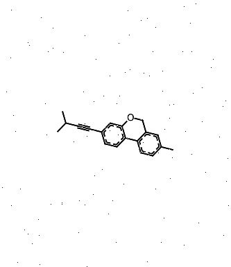 Cc1ccc2c(c1)COc1cc(C#CC(C)C)ccc1-2